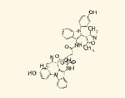 Cc1noc(C)c1-c1c(NC(=O)CCS(=O)(=O)Nc2c(-c3c(C)noc3C)n(-c3ccc(O)cc3)c3ccccc23)c2ccccc2n1-c1ccc(O)cc1